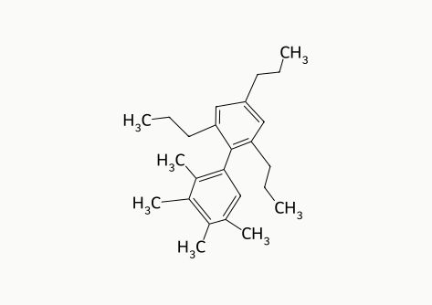 CCCc1cc(CCC)c(-c2cc(C)c(C)c(C)c2C)c(CCC)c1